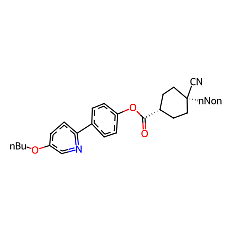 CCCCCCCCC[C@]1(C#N)CC[C@H](C(=O)Oc2ccc(-c3ccc(OCCCC)cn3)cc2)CC1